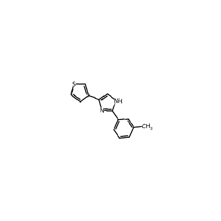 Cc1cccc(-c2nc(-c3ccsc3)c[nH]2)c1